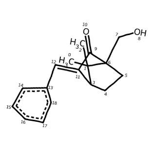 CC1(C)C2CCC1(CO)C(=O)C2=Cc1ccccc1